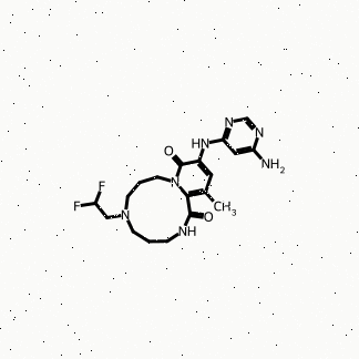 Cc1cc(Nc2cc(N)ncn2)c(=O)n2c1C(=O)NCCCN(CC(F)F)CCC2